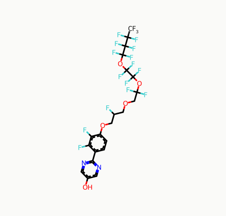 Oc1cnc(-c2ccc(OCC(F)COCC(F)(F)OC(F)(F)C(F)(F)OC(F)(F)C(F)(F)C(F)(F)C(F)(F)F)c(F)c2F)nc1